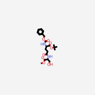 COC(=O)C(CO)NC(=O)CCC(NC(=O)OCc1ccccc1)C(=O)OC(C)(C)C